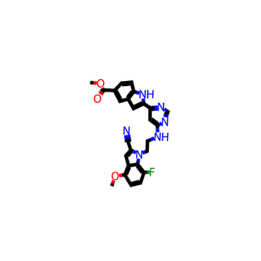 COC(=O)c1ccc2[nH]c(-c3cc(NCCn4c(C#N)cc5c(OC)ccc(F)c54)ncn3)cc2c1